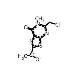 Cn1c(CCl)nc2sc([S+](C)[O-])nc2c1=O